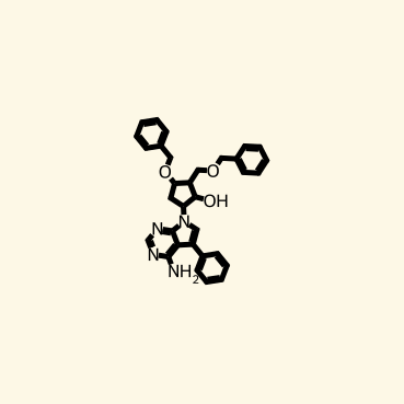 Nc1ncnc2c1c(-c1ccccc1)cn2C1CC(OCc2ccccc2)C(COCc2ccccc2)C1O